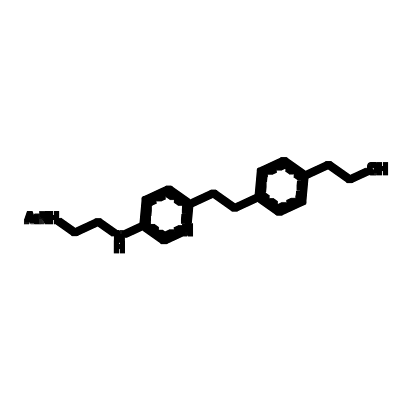 CC(=O)NCCNc1ccc(CCc2ccc(CCO)cc2)nc1